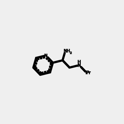 CC(C)NCC(N)c1ccccn1